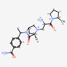 CC(c1ccc(C(N)=O)cc1)N1C(=O)[C@@H]2CC1CN2CC(N)C(=O)N1CCCC1C#N